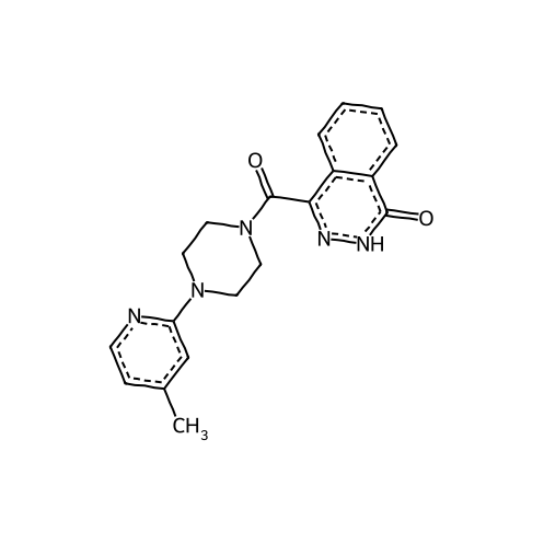 Cc1ccnc(N2CCN(C(=O)c3n[nH]c(=O)c4ccccc34)CC2)c1